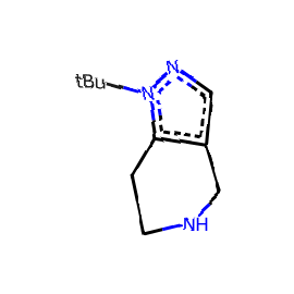 CC(C)(C)n1ncc2c1CCNC2